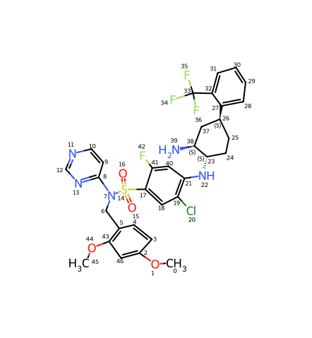 COc1ccc(CN(c2ccncn2)S(=O)(=O)c2cc(Cl)c(N[C@H]3CC[C@H](c4ccccc4C(F)(F)F)C[C@@H]3N)cc2F)c(OC)c1